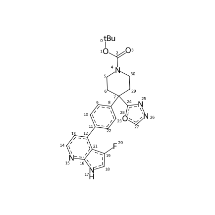 CC(C)(C)OC(=O)N1CCC(c2ccc(-c3ccnc4[nH]cc(F)c34)cc2)(c2nnco2)CC1